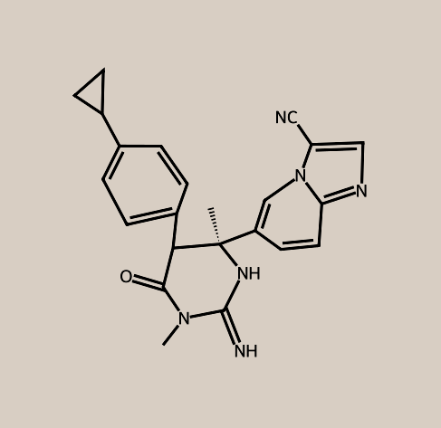 CN1C(=N)N[C@](C)(c2ccc3ncc(C#N)n3c2)C(c2ccc(C3CC3)cc2)C1=O